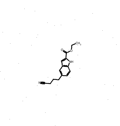 CCOC(=O)c1cc2cc(CCCC#N)ccc2[nH]1